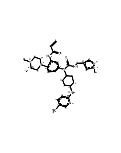 C=CC(=O)Nc1cc(N(C(=O)NCc2cnn(C)c2)C2CCC(Nc3ccc(C#N)cn3)CC2)ccc1N1CCN(C)[C@@H](C)C1